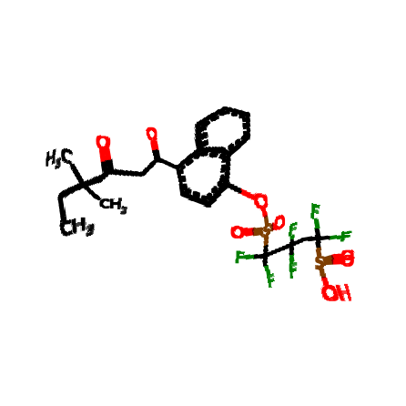 CCC(C)(C)C(=O)CC(=O)c1ccc(OS(=O)(=O)C(F)(F)C(F)(F)C(F)(F)S(=O)(=O)O)c2ccccc12